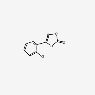 O=c1onc(-c2ccccc2Cl)o1